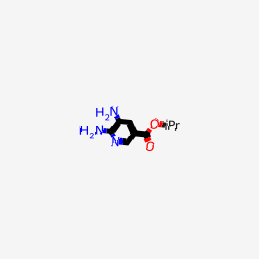 CC(C)OC(=O)c1cnc(N)c(N)c1